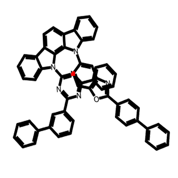 c1ccc(-c2ccc(-c3nc4cc(-n5c6ccccc6c6ccc7c8ccccc8n(-c8nc(-c9ccccc9)nc(-c9cccc(-c%10ccccc%10)c9)n8)c7c65)ccc4o3)cc2)cc1